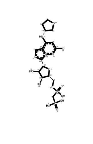 O=P(O)(O)CP(=O)(O)OC[C@H]1O[C@@H](c2ncc3c(N[C@@H]4CCOC4)cc(Cl)nn23)[C@H](O)[C@@H]1O